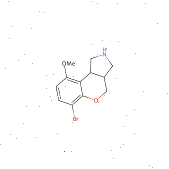 COc1ccc(Br)c2c1C1CNCC1CO2